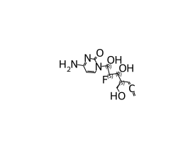 C=C=C[C@@H](CO)[C@@H](O)[C@H](F)[C@@H](O)n1ccc(N)nc1=O